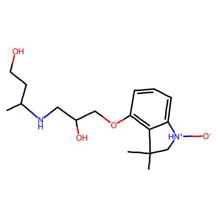 CC(CCO)NCC(O)COc1cccc2c1C(C)(C)C[NH+]2[O-]